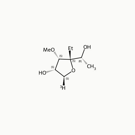 [3H][C@@H]1O[C@@](CC)([C@@H](C)O)[C@@H](OC)[C@H]1O